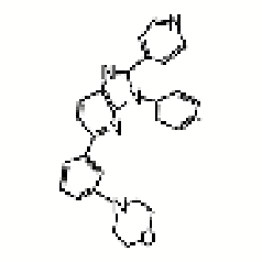 [c]1ccc(-n2c(-c3ccncc3)nc3ccc(-c4cccc(N5CCOCC5)c4)nc32)cc1